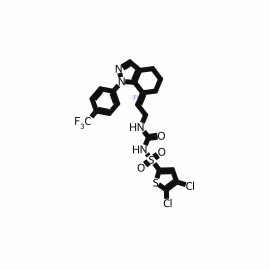 O=C(NC/C=C1\CCCc2cnn(-c3ccc(C(F)(F)F)cc3)c21)NS(=O)(=O)c1cc(Cl)c(Cl)s1